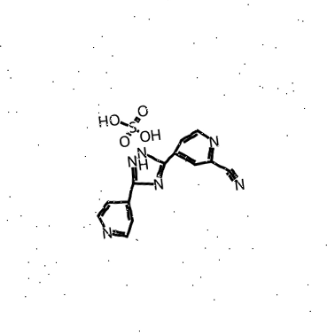 N#Cc1cc(-c2nc(-c3ccncc3)n[nH]2)ccn1.O=S(=O)(O)O